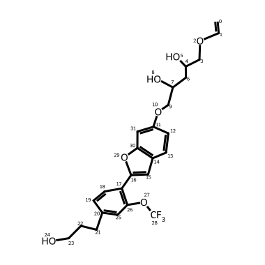 C=COCC(O)CC(O)COc1ccc2cc(-c3ccc(CCCO)cc3OC(F)(F)F)oc2c1